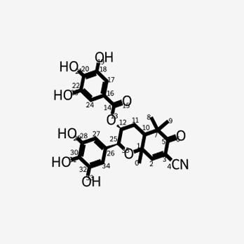 CC12C=C(C#N)C(=O)C(C)(C)C1C[C@@H](OC(=O)c1cc(O)c(O)c(O)c1)[C@H](c1cc(O)c(O)c(O)c1)O2